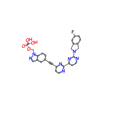 O=P(O)(O)OCn1ncc2cc(C#Cc3ccnc(-c4ccnc(N5Cc6ccc(F)cc6C5)n4)n3)ccc21